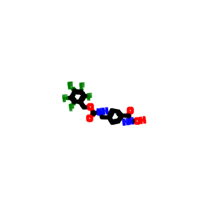 O=C(NCc1ccc(C(=O)NO)cc1)OCc1c(F)c(F)c(F)c(F)c1F